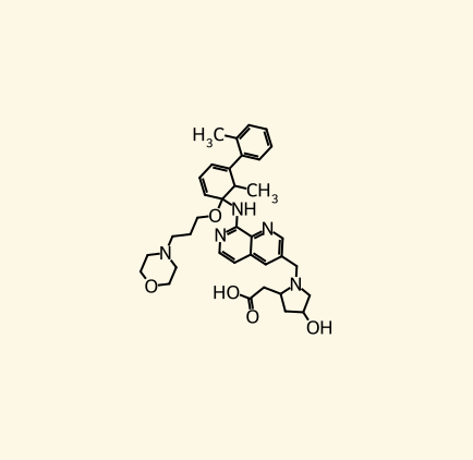 Cc1ccccc1C1=CC=CC(Nc2nccc3cc(CN4CC(O)CC4CC(=O)O)cnc23)(OCCCN2CCOCC2)C1C